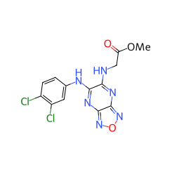 COC(=O)CNc1nc2nonc2nc1Nc1ccc(Cl)c(Cl)c1